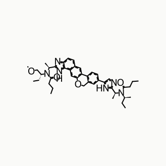 CCCC(=O)N([C@H](CC)COC)[C@@H](C)c1nc2ccc3cc4c(cc3c2[nH]1)OCc1cc(-c2cnc([C@H](C)N(C(=O)CCC)[C@@H](C)CC)[nH]2)ccc1-4